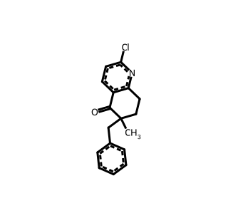 CC1(Cc2ccccc2)CCc2nc(Cl)ccc2C1=O